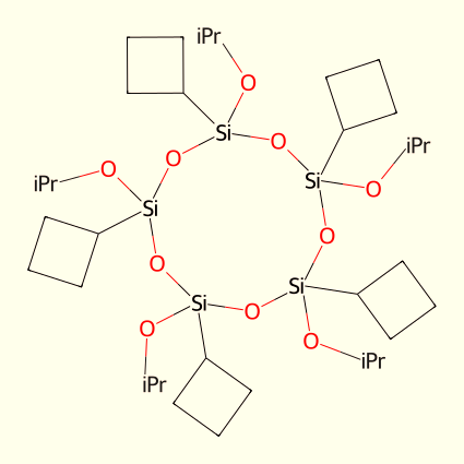 CC(C)O[Si]1(C2CCC2)O[Si](OC(C)C)(C2CCC2)O[Si](OC(C)C)(C2CCC2)O[Si](OC(C)C)(C2CCC2)O[Si](OC(C)C)(C2CCC2)O1